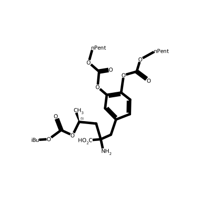 CCCCCOC(=O)Oc1ccc(CC(N)(C[C@H](C)OC(=O)OC(C)CC)C(=O)O)cc1OC(=O)OCCCCC